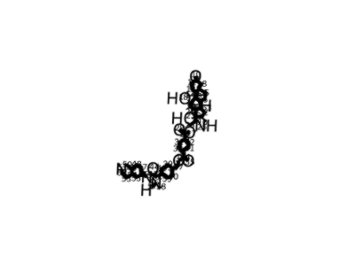 C[C@@H]1C[C@H]2[C@@H]3CCC4=CC(=O)C=C[C@]4(C)[C@@]3(F)[C@@H](O)C[C@]2(C)[C@@]1(O)C(=N)COC(=O)c1ccc(C(=O)OCc2ccc(C(C(=O)Nc3ccc4cnccc4c3)N(C)C)cc2)cc1